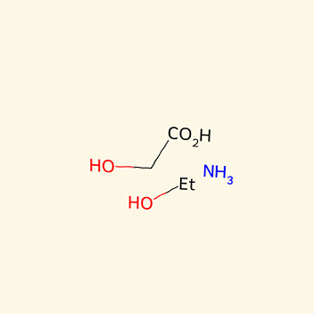 CCO.N.O=C(O)CO